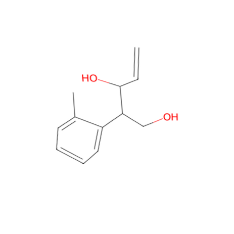 C=CC(O)C(CO)c1ccccc1C